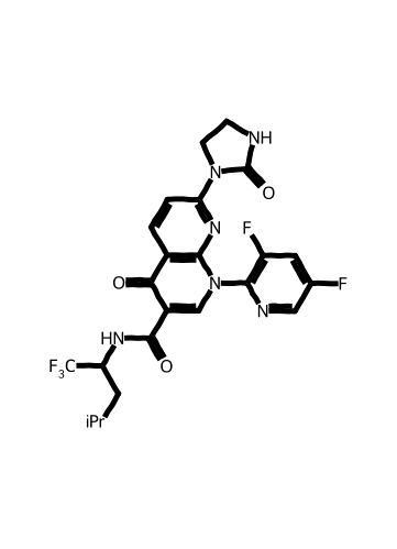 CC(C)CC(NC(=O)c1cn(-c2ncc(F)cc2F)c2nc(N3CCNC3=O)ccc2c1=O)C(F)(F)F